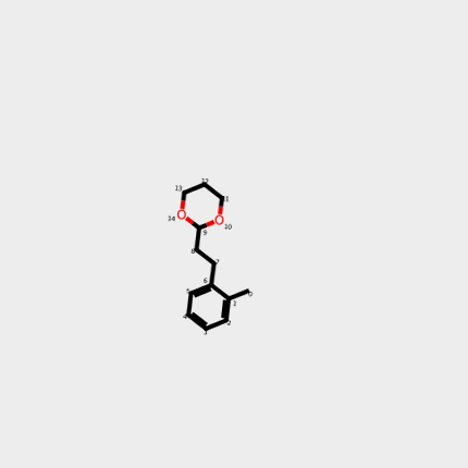 Cc1ccccc1CCC1OCCCO1